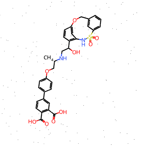 C.O=C(O)c1ccc(-c2ccc(OCCNCC(O)c3ccc4cc3NS(=O)(=O)c3cccc(c3)CO4)cc2)cc1C(=O)O